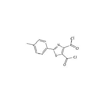 Cc1ccc(-c2nc(C(=O)Cl)c(C(=O)Cl)s2)cc1